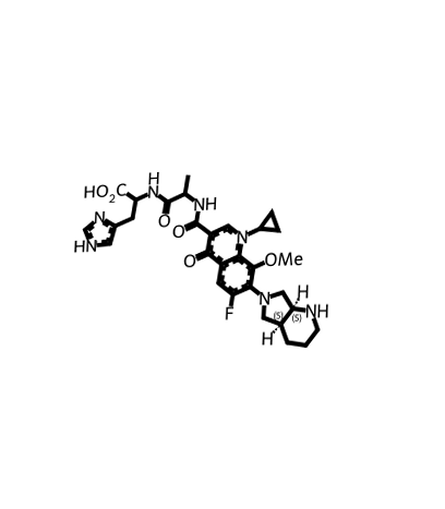 COc1c(N2C[C@@H]3CCCN[C@@H]3C2)c(F)cc2c(=O)c(C(=O)NC(C)C(=O)NC(Cc3c[nH]cn3)C(=O)O)cn(C3CC3)c12